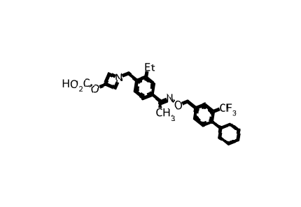 CCc1cc(C(C)=NOCc2ccc(C3CCCCC3)c(C(F)(F)F)c2)ccc1CN1CC(OC(=O)O)C1